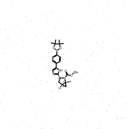 CC(C)(C)OC(=O)N1[C@@H]2C[C@@H]2C[C@H]1c1ncc(-c2ccc(B3OC(C)(C)C(C)(C)O3)cc2)[nH]1